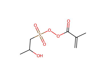 C=C(C)C(=O)OOS(=O)(=O)CC(C)O